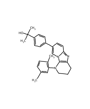 Cc1ccc(C)c(N2CCCc3nc4ccc(-c5ccc(C(C)(C)O)cc5)cn4c32)c1